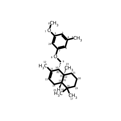 COc1cc(C)cc(OC[C@H]2C(C)=CC[C@H]3C(C)(C)CCC[C@]23C)c1